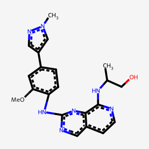 COc1cc(-c2cnn(C)c2)ccc1Nc1ncc2ccnc(NC(C)CO)c2n1